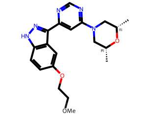 COCCOc1ccc2[nH]nc(-c3cc(N4C[C@@H](C)O[C@@H](C)C4)ncn3)c2c1